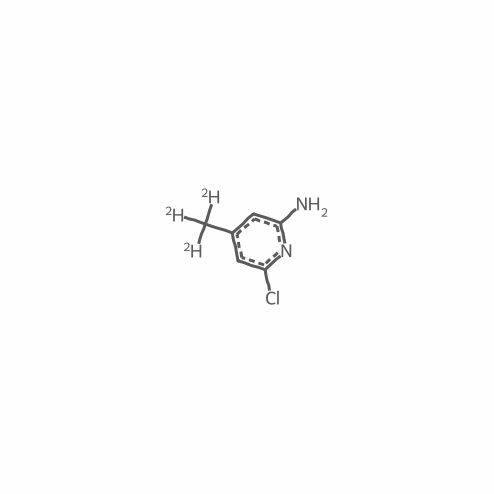 [2H]C([2H])([2H])c1cc(N)nc(Cl)c1